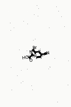 N#Cc1ccn2c(C(=O)O)nc(Br)c2c1